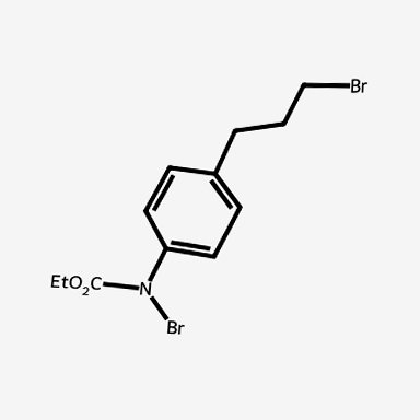 CCOC(=O)N(Br)c1ccc(CCCBr)cc1